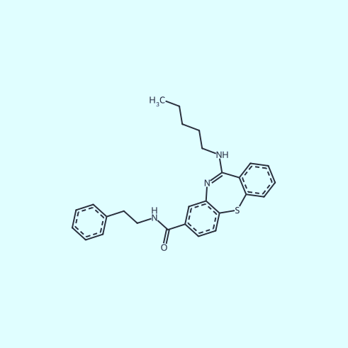 CCCCCNC1=Nc2cc(C(=O)NCCc3ccccc3)ccc2Sc2ccccc21